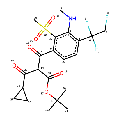 CNc1c(C(F)(F)CF)ccc(C(=O)C(C(=O)OC(C)(C)C)C(=O)C2CC2)c1S(C)(=O)=O